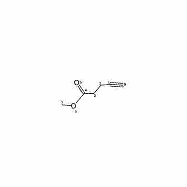 [C]#CCCC(=O)OC